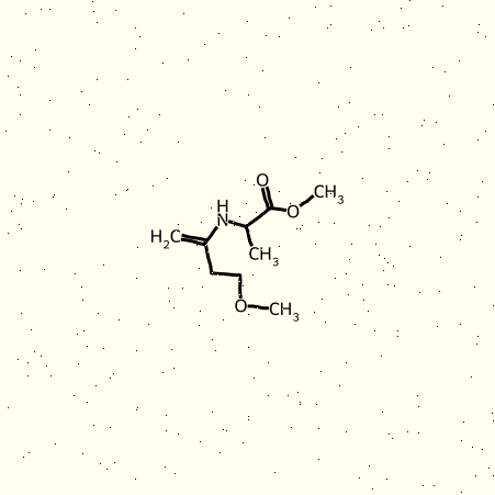 C=C(CCOC)NC(C)C(=O)OC